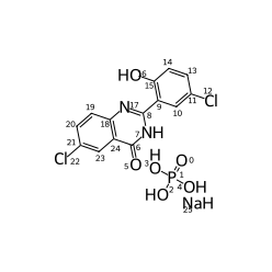 O=P(O)(O)O.O=c1[nH]c(-c2cc(Cl)ccc2O)nc2ccc(Cl)cc12.[NaH]